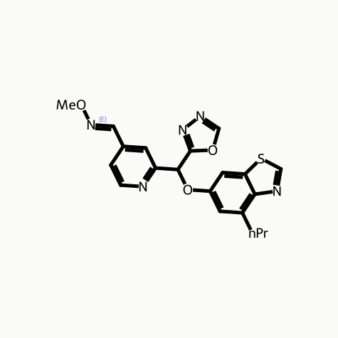 CCCc1cc(OC(c2cc(/C=N/OC)ccn2)c2nnco2)cc2scnc12